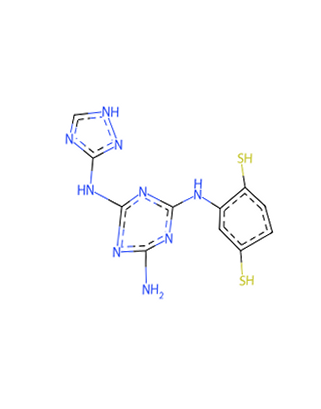 Nc1nc(Nc2nc[nH]n2)nc(Nc2cc(S)ccc2S)n1